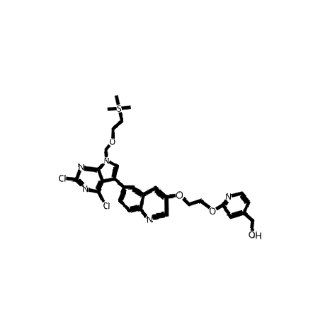 CS(C)(C)CCOCn1cc(-c2ccc3ncc(OCCOc4cc(CO)ccn4)cc3c2)c2c(Cl)nc(Cl)nc21